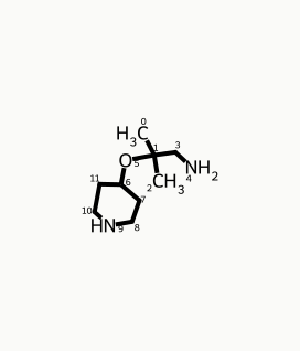 CC(C)(CN)OC1CCNCC1